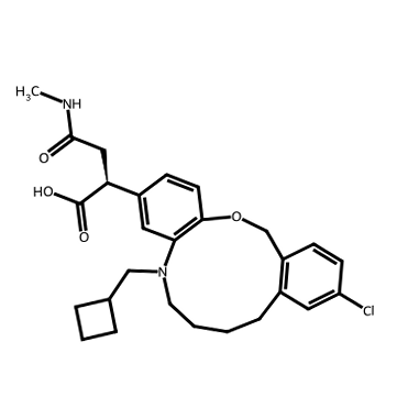 CNC(=O)C[C@H](C(=O)O)c1ccc2c(c1)N(CC1CCC1)CCCCc1cc(Cl)ccc1CO2